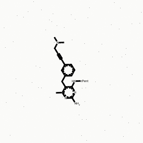 CCCCCNc1nc(N)nc(C)c1Cc1cccc(C#CCN(C)C)c1